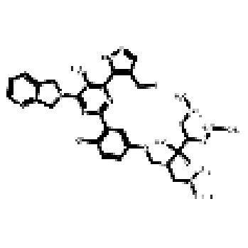 C[SiH2]OC(O[SiH2]C)C(C)(C)[C@H](COc1ccc(Cl)c(-c2nc(-c3[nH]ncc3CI)c(C)c(N3Cc4cccnc4C3)n2)c1)CN(C)C(=O)O